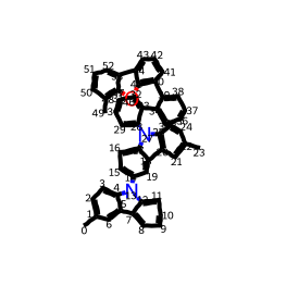 Cc1ccc2c(c1)c1ccccc1n2-c1ccc2c(c1)c1cc(C)ccc1n2-c1ccccc1-c1ccccc1-c1cccc2c1oc1c(C)cccc12